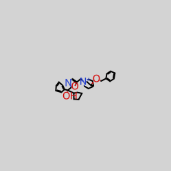 OC(c1ccccc1)(c1ncc(C[N+]23CCC(CC2)C(OCc2ccccc2)C3)o1)C1CCCC1